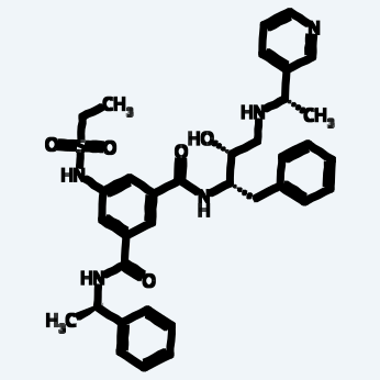 CCS(=O)(=O)Nc1cc(C(=O)N[C@@H](Cc2ccccc2)[C@H](O)CN[C@@H](C)c2cccnc2)cc(C(=O)N[C@H](C)c2ccccc2)c1